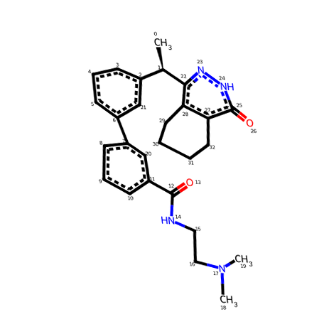 C[C@H](c1cccc(-c2cccc(C(=O)NCCN(C)C)c2)c1)c1n[nH]c(=O)c2c1CCCC2